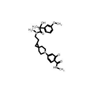 CNC(=O)c1ccc(N2CCC3(CC2)CC3CCN(C)C(=O)[C@](C)(O)c2cccc(OC)c2)cc1Cl